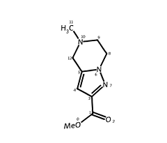 COC(=O)c1cc2n(n1)CCN(C)C2